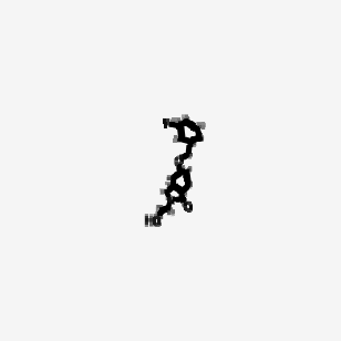 O=C1c2ccc(OCc3cccc(F)c3)cc2CN1CCO